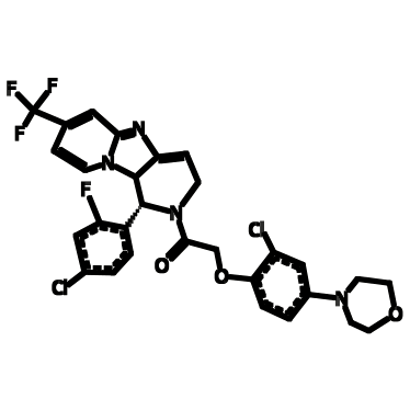 O=C(COc1ccc(N2CCOCC2)cc1Cl)N1CC=C2N=C3C=C(C(F)(F)F)C=CN3C2[C@H]1c1ccc(Cl)cc1F